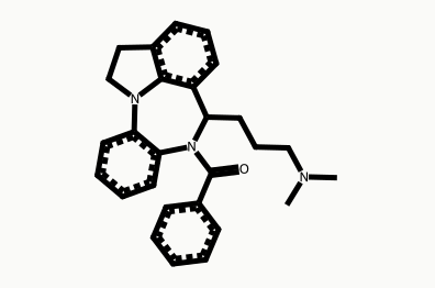 CN(C)CCCC1c2cccc3c2N(CC3)c2ccccc2N1C(=O)c1ccccc1